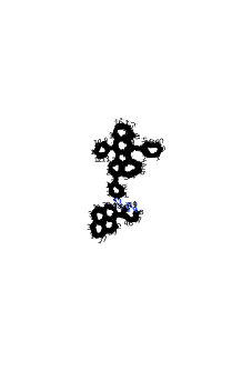 c1ccc(-c2c3c(c(-c4ccccc4)c4ccccc24)-c2ccc(-c4ccc(-n5c6cc7ccc8cccc9ccc(c7c89)c6c6cccnc65)cc4)c4cccc-3c24)cc1